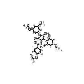 COc1cc(F)c(-c2c(NC(=O)c3ccc(OC(F)F)cc3)c(=O)n(-c3cc(C)cc(OC)n3)n2C)c(F)c1